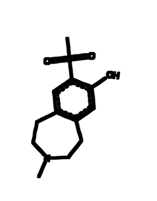 CN1CCc2cc(O)c(S(C)(=O)=O)cc2CC1